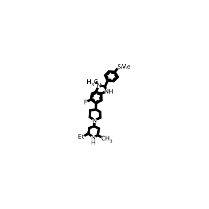 CCC1CC(N2CCC(c3cc4c(cc3F)N(C)C(c3ccc(SC)cc3)N4)CC2)CC(C)N1